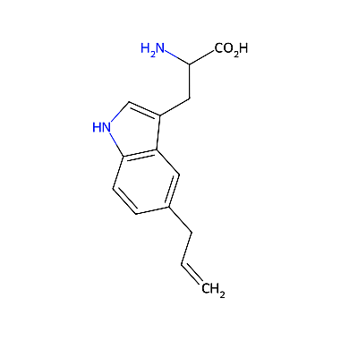 C=CCc1ccc2[nH]cc(CC(N)C(=O)O)c2c1